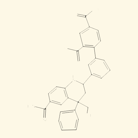 CCC1(c2ccccc2)CC(c2cccc(-c3ccc(C(=O)O)cc3C(=O)O)c2)Nc2ccc(C(=N)N)cc21